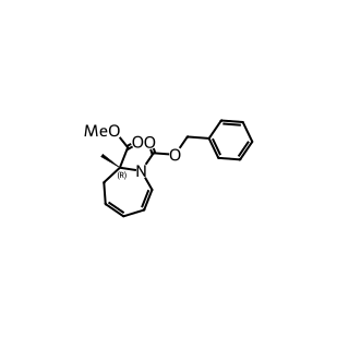 COC(=O)[C@@]1(C)CC=CC=CN1C(=O)OCc1ccccc1